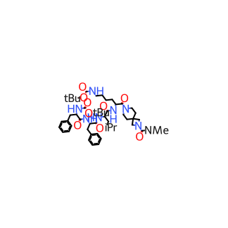 CNC(=O)N1CC2(CCN(C(=O)C(CCCCNC(=O)OC(C)(C)C)NC(=O)C(CC(C)C)NC(=O)C(Cc3ccccc3)NC(=O)C(Cc3ccccc3)NC(=O)OC(C)(C)C)CC2)C1